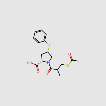 CC(=O)SCC(C)C(=O)N1C[C@@H](Sc2ccccc2)C[C@H]1C(=O)O